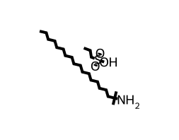 CCCCCCCCCCCCCCCCCC(C)(C)N.CCCS(=O)(=O)O